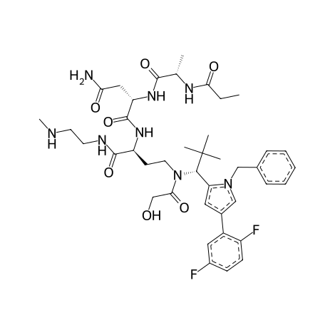 CCC(=O)N[C@@H](C)C(=O)N[C@@H](CC(N)=O)C(=O)N[C@@H](CCN(C(=O)CO)[C@@H](c1cc(-c2cc(F)ccc2F)cn1Cc1ccccc1)C(C)(C)C)C(=O)NCCNC